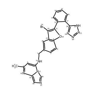 Cc1cc(NCc2ccc3oc(-c4ccccc4-c4nnn[nH]4)c(Br)c3c2)n2cncc2n1